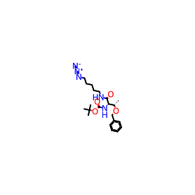 C[C@H](OCc1ccccc1)[C@H](NC(=O)OC(C)(C)C)C(=O)NCCCCCN=[N+]=[N-]